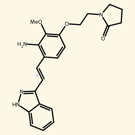 COc1c(OCCN2CCCC2=O)ccc(/C=C/c2n[nH]c3ccccc23)c1N